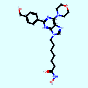 O=C(CCCCCCn1cnc2c(N3CCOCC3)nc(-c3ccc(CO)cc3)nc21)NO